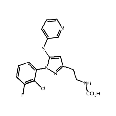 O=C(O)NCCc1cc(Sc2cccnc2)n(-c2cccc(F)c2Cl)n1